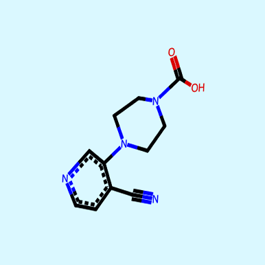 N#Cc1ccncc1N1CCN(C(=O)O)CC1